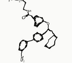 O=C(O)CCNC(=O)c1ccc(OC(CC2CCCCC2)c2ccc(-c3cccc(C(F)(F)F)c3)cc2)cc1